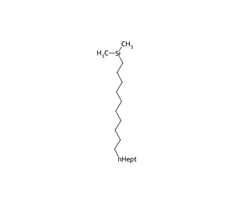 CCCCCCCCCCCCCCCCC[Si](C)C